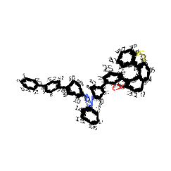 c1ccc(-c2ccc(-c3ccc(N(c4ccccc4)c4ccc(-c5cccc6c5oc5ccc7ccc8sc9ccccc9c8c7c56)cc4)cc3)cc2)cc1